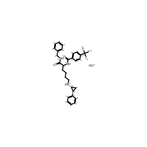 Cl.O=C(NC(CCCCN[C@@H]1C[C@H]1c1ccccc1)C(=O)NCc1ccccc1)c1ccc(C(F)(F)F)cc1